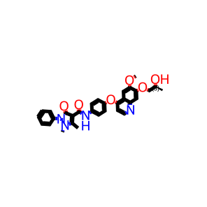 COc1cc2c(Oc3ccc(NC(=O)c4c(C)n(C)n(-c5cc#ccc5)c4=O)cc3)ccnc2cc1OC[C@H](C)O